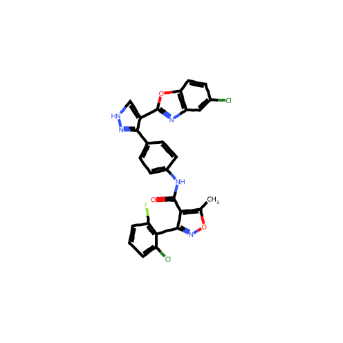 Cc1onc(-c2c(F)cccc2Cl)c1C(=O)Nc1ccc(-c2n[nH]cc2-c2nc3cc(Cl)ccc3o2)cc1